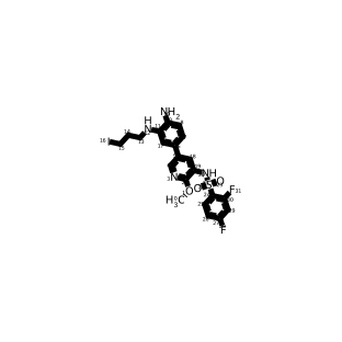 COc1ncc(-c2ccc(N)c(NCCCI)c2)cc1NS(=O)(=O)c1ccc(F)cc1F